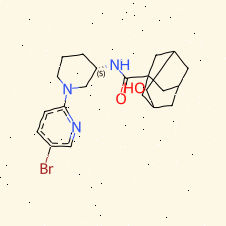 O=C(N[C@H]1CCCN(c2ccc(Br)cn2)C1)C12CC3CC(C1)C(O)C(C3)C2